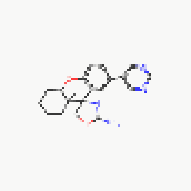 NC1=NC2(CO1)c1cc(-c3cncnc3)ccc1OC1CCCC[C@H]12